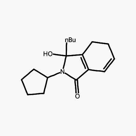 CCCCC1(O)C2=C(C=CCC2)C(=O)N1C1CCCC1